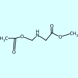 COC(=O)CNCOC(C)=O